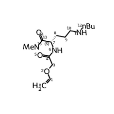 C=COCC(=O)N[C@@H](CCCNCCCC)C(=O)NC